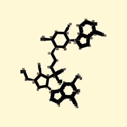 Nc1cc2c(ncn2[C@@H]2O[C@H](CO)[C@@H](F)[C@H]2P(=O)(S)OCC[C@H]2O[C@@H](n3ccc4c(=O)[nH]cnc43)[C@H](F)C[C@@H]2O)c(=O)[nH]1